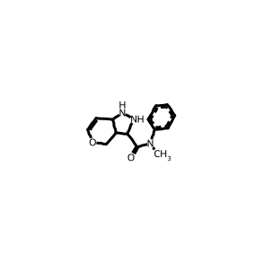 CN(C(=O)C1NNC2C=COCC21)c1ccccc1